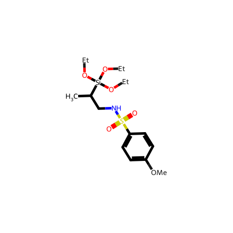 CCO[Si](OCC)(OCC)C(C)CNS(=O)(=O)c1ccc(OC)cc1